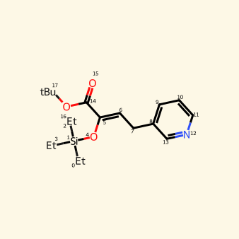 CC[Si](CC)(CC)O/C(=C\Cc1cccnc1)C(=O)OC(C)(C)C